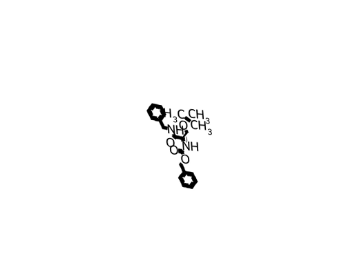 CC(C)(C)OC[C@@H](NC(=O)OCc1ccccc1)C(=O)NCc1ccccc1